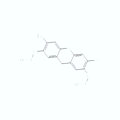 CCCCCCCCOc1cc2c(cc1Br)Sc1cc(Br)c(OCCCCCCCC)cc1C2